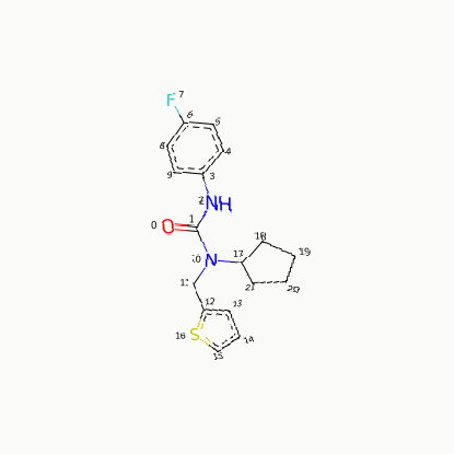 O=C(Nc1ccc(F)cc1)N(Cc1cccs1)C1CCCC1